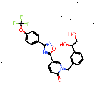 O=c1ccc(-c2nc(-c3ccc(OC(F)(F)F)cc3)no2)cn1Cc1cccc(C(O)CO)c1